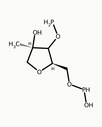 C[C@@]1(O)CO[C@H](COPO)C1OP